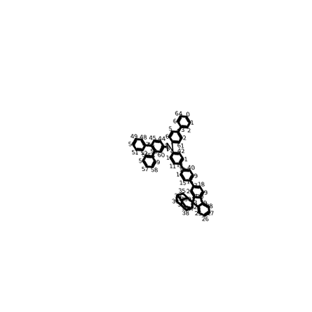 c1ccc(-c2ccc(N(c3ccc(-c4ccc(-c5ccc6c(c5)C5(c7ccccc7-6)C6CC7CC(C6)CC5C7)cc4)cc3)c3ccc(-c4ccccc4)c(-c4ccccc4)c3)cc2)cc1